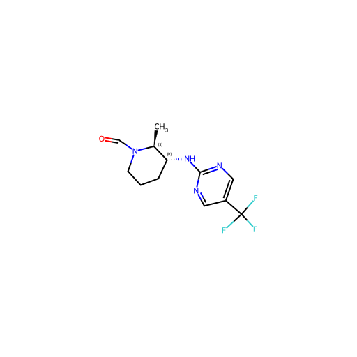 C[C@H]1[C@H](Nc2ncc(C(F)(F)F)cn2)CCCN1C=O